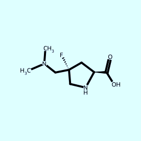 CN(C)C[C@]1(F)CN[C@H](C(=O)O)C1